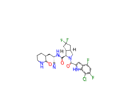 N#C[C@H](C[C@@H]1CCCNC1=O)NC(=O)[C@H]1[C@H]2CC(F)(F)C[C@H]2CN1C(=O)c1cc2c(F)cc(F)c(Cl)c2[nH]1